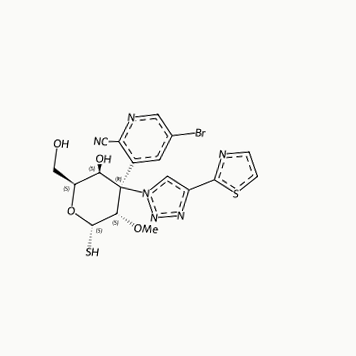 CO[C@@H]1[C@H](S)O[C@@H](CO)[C@@H](O)[C@@]1(c1cc(Br)cnc1C#N)n1cc(-c2nccs2)nn1